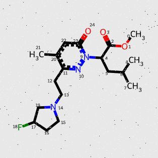 COC(=O)C(CC(C)C)n1nc(CCN2CCC(F)C2)c(C)cc1=O